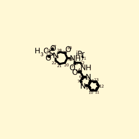 CC(C)C[C@H](NC(=O)c1cnc2ccccc2n1)C(=O)NC1CCCN(S(C)(=O)=O)CC1=O